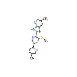 CCSc1cc(-c2ccc(C#N)cn2)cnc1-c1nc2cc(C(F)(F)F)cnc2n1C